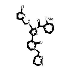 COc1ccccc1C(=O)n1nc(-c2cccn(Cc3cccnn3)c2=O)cc1NCc1ccc(Cl)s1